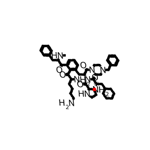 CNC(Cc1ccccc1)C(=O)c1cccc(CC(C(=O)N2CCN(Cc3ccccc3)CC2)N(C(=O)C2CCCN2)C(=O)[C@H](N)CC2CCCCC2)c1C(=O)C(N)CCCCN